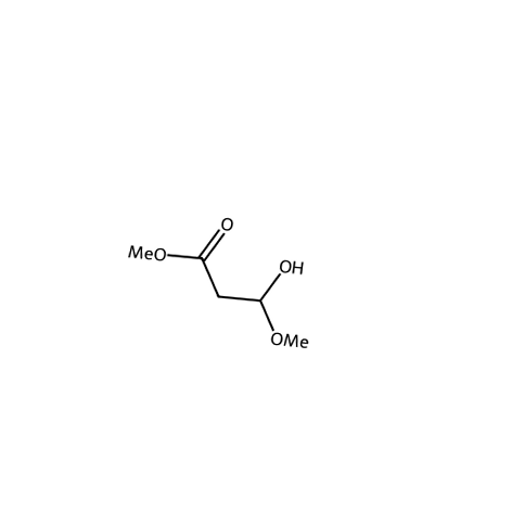 COC(=O)CC(O)OC